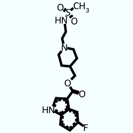 CS(=O)(=O)NCCN1CCC(COC(=O)c2c[nH]c3ccc(F)cc23)CC1